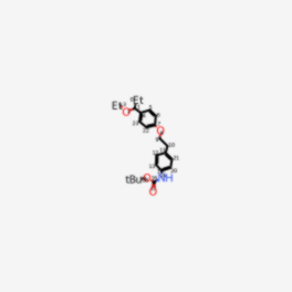 [CH2]CC(OCC)c1ccc(OCCc2ccc(NC(=O)OC(C)(C)C)cc2)cc1